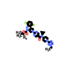 CCn1nnc(N2CCC(N(C(=O)c3cnc(N4C[C@H](NC(=O)OC(C)(C)C)[C@@H](c5cc(F)ccc5F)C4)nc3)C3CC3)CC2)n1